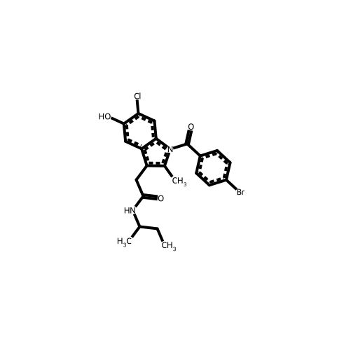 CCC(C)NC(=O)Cc1c(C)n(C(=O)c2ccc(Br)cc2)c2cc(Cl)c(O)cc12